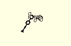 COc1cc(NC(=O)C2COCCO2)cc(-c2ccc(C#CC3CC3)cc2)n1